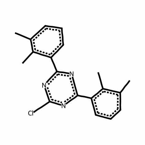 Cc1cccc(-c2nc(Cl)nc(-c3cccc(C)c3C)n2)c1C